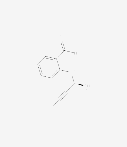 CC#C[C@H](C)Oc1ccccc1C(N)=O